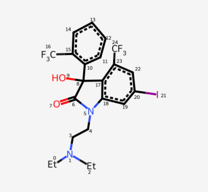 CCN(CC)CCN1C(=O)C(O)(c2ccccc2C(F)(F)F)c2c1cc(I)cc2C(F)(F)F